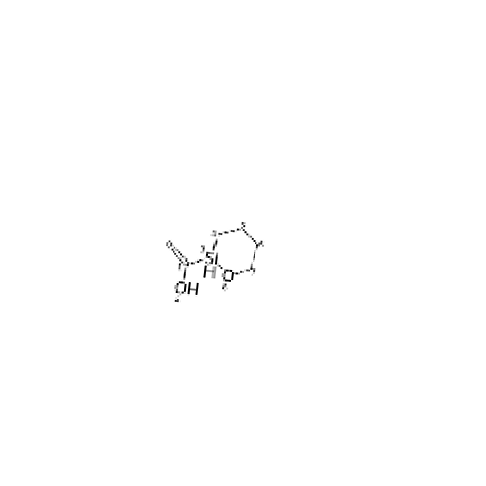 C=C(O)[SiH]1CCCCO1